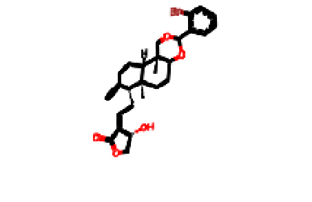 C=C1CC[C@H]2[C@@](C)(CCC3OC(c4ccccc4Br)OC[C@]32C)[C@@H]1C/C=C1/C(=O)OC[C@H]1O